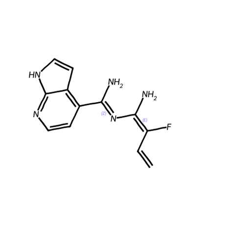 C=C/C(F)=C(N)\N=C(/N)c1ccnc2[nH]ccc12